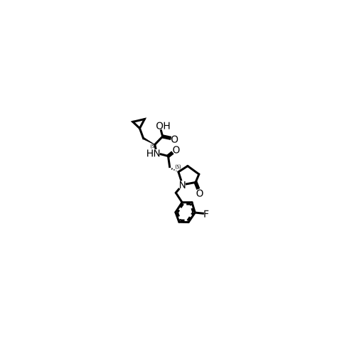 O=C(C[C@@H]1CCC(=O)N1Cc1cccc(F)c1)N[C@@H](CC1CC1)C(=O)O